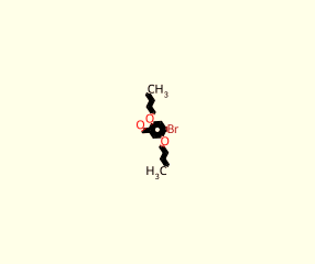 CCCCCOc1cc(C=O)c(OCCCCC)cc1Br